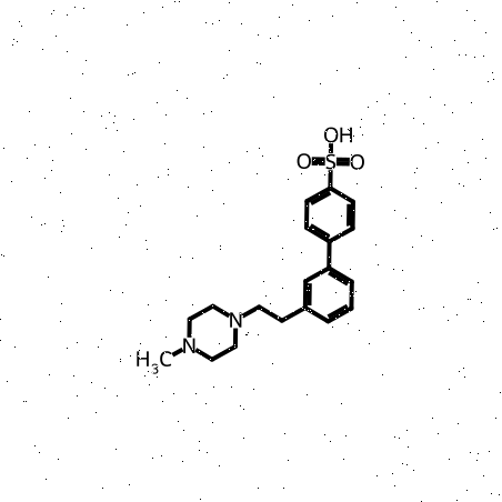 CN1CCN(CCc2cccc(-c3ccc(S(=O)(=O)O)cc3)c2)CC1